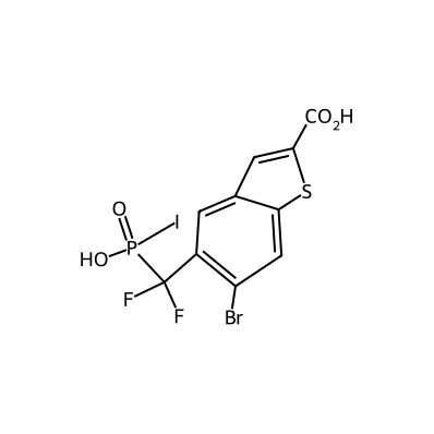 O=C(O)c1cc2cc(C(F)(F)P(=O)(O)I)c(Br)cc2s1